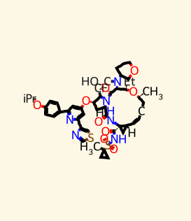 CC[C@@H]1O[C@H](C)CC/C=C\[C@@H]2C[C@@]2(C(=O)NS(=O)(=O)C2(C)CC2)NC(=O)[C@@H]2C[C@@H](Oc3cc(-c4ccc(OC(C)C)cc4)nc(-c4cscn4)c3)C(C(F)(F)F)N2C(=O)[C@H]1N(C(=O)O)C1CCCOC1